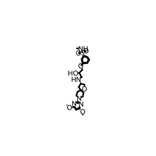 CNS(=O)(=O)c1cccc(OCC(O)CN[C@H]2COC3(CCN(c4nc(OC)cc(OC)n4)CC3)C2)c1